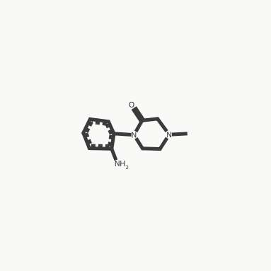 CN1CCN(c2ccccc2N)C(=O)C1